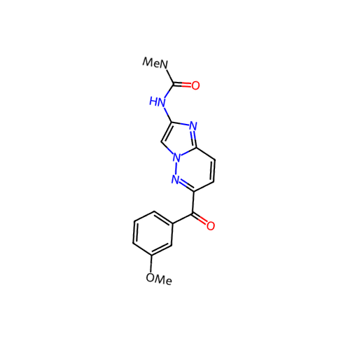 CNC(=O)Nc1cn2nc(C(=O)c3cccc(OC)c3)ccc2n1